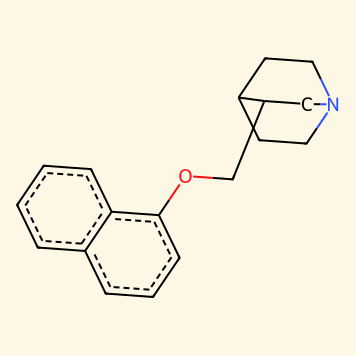 c1ccc2c(OCC3CN4CCC3CC4)cccc2c1